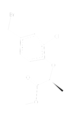 COC(=O)[C@H](C)Oc1ccc(CBr)cc1Cl